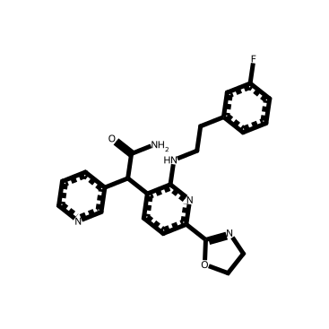 NC(=O)C(c1cccnc1)c1ccc(C2=NCCO2)nc1NCCc1cccc(F)c1